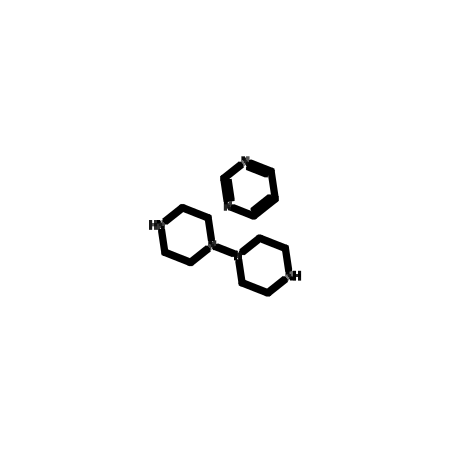 C1CN(N2CCNCC2)CCN1.c1cncnc1